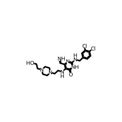 N=Cc1nc(NCc2ccc(Cl)c(Cl)c2)[nH]c(=O)c1NCCN1CCN(CCO)CC1